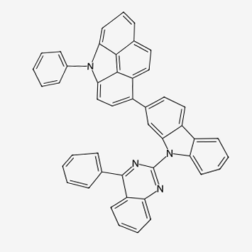 c1ccc(-c2nc(-n3c4ccccc4c4ccc(-c5ccc6c7c5ccc5cccc(c57)n6-c5ccccc5)cc43)nc3ccccc23)cc1